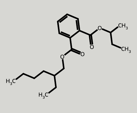 CCCCC(CC)COC(=O)c1ccccc1C(=O)OC(C)CC